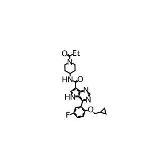 CCC(=O)N1CCC(NC(=O)c2c[nH]c3c(-c4cc(F)ccc4OCC4CC4)ncnc23)CC1